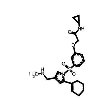 CNCc1cc(C2=CCCCC2)n(S(=O)(=O)c2cccc(OCC(=O)NC3CC3)c2)c1